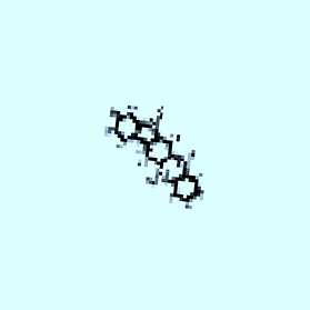 CN1c2ccccc2N(C)c2cc3c(cc21)c1ccccc1n3C